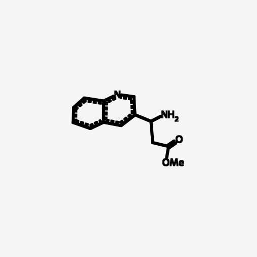 COC(=O)CC(N)c1cnc2ccccc2c1